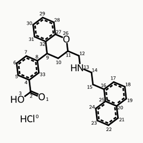 Cl.O=C(O)c1cccc(C2CC(CNCCc3cccc4ccccc34)Oc3ccccc32)c1